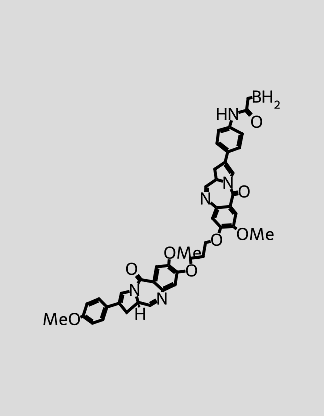 BCC(=O)Nc1ccc(C2=CN3C(=O)c4cc(OC)c(OCCCOc5cc6c(cc5OC)C(=O)N5C=C(c7ccc(OC)cc7)C[C@H]5C=N6)cc4N=CC3C2)cc1